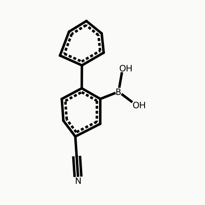 N#Cc1ccc(-c2ccccc2)c(B(O)O)c1